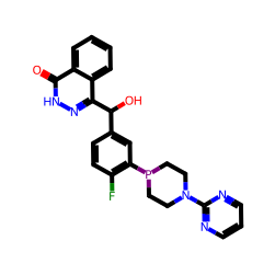 O=c1[nH]nc(C(O)c2ccc(F)c(P3CCN(c4ncccn4)CC3)c2)c2ccccc12